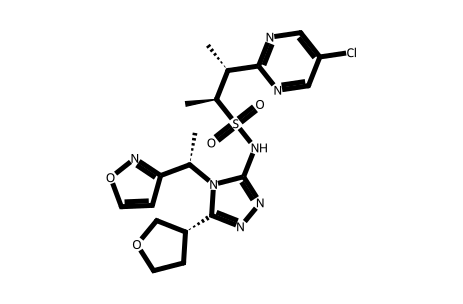 C[C@H](c1ncc(Cl)cn1)[C@H](C)S(=O)(=O)Nc1nnc([C@@H]2CCOC2)n1[C@@H](C)c1ccon1